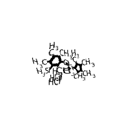 Cl.Cl.[CH2]=[Ti]([O]c1c(C)c(C)c(C)c([SiH3])c1C)[C]1=C(C)C(C)=C(C)C1C